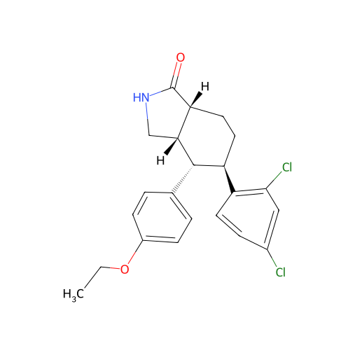 CCOc1ccc([C@@H]2[C@@H]3CNC(=O)[C@@H]3CC[C@H]2c2ccc(Cl)cc2Cl)cc1